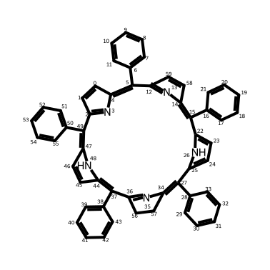 C1=Cc2nc1c(-c1ccccc1)c1nc(c(-c3ccccc3)c3ccc([nH]3)c(-c3ccccc3)c3nc(c(-c4ccccc4)c4ccc([nH]4)c2-c2ccccc2)CC3)C=C1